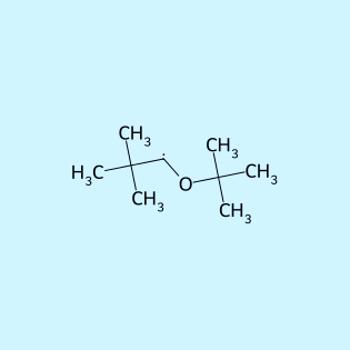 CC(C)(C)[CH]OC(C)(C)C